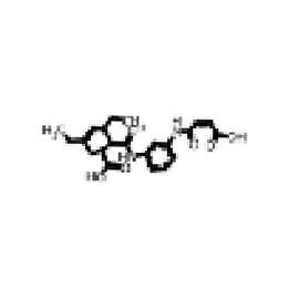 CCC1=CC(CC)C(C(=O)Nc2cccc(NC(=O)/C=C\C(=O)O)c2)C(C(=O)O)C1